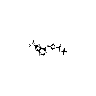 C[S+]([O-])c1nc2ncnc(OC3CN(C(=O)OC(C)(C)C)C3)c2s1